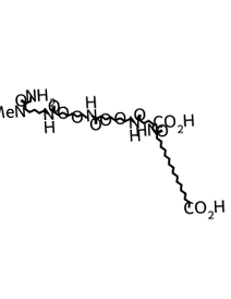 CNC(CCCCNC(=O)COCCOCCNC(=O)COCCOCCNC(=O)CCC(NC(=O)CCCCCCCCCCCCCCCCC(=O)O)C(=O)O)C(=O)CN